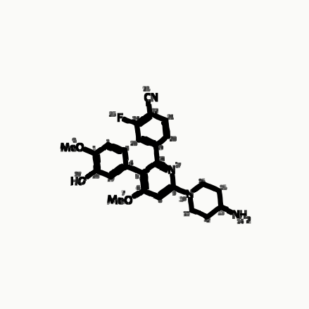 COc1ccc(-c2c(OC)cc(N3CCC(N)CC3)nc2-c2ccc(C#N)c(F)c2)cc1O